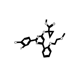 COCCOc1ccccc1-c1cc(OC2(C(=O)OC)CC2)nc(-c2ccc(Cl)c(F)c2)n1